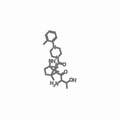 Cc1ccccc1N1CCN(C(=O)C2C(C(=O)C(N)C(C)O)C3(C)CCC2(N)C3(C)C)CC1